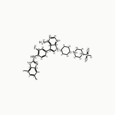 Cc1cc(C)c2oc(Nc3ccc(-c4cn([C@H]5CC[C@@H](N6CCN(S(C)(=O)=O)CC6)CC5)c5ncnc(N)c45)cc3F)nc2c1